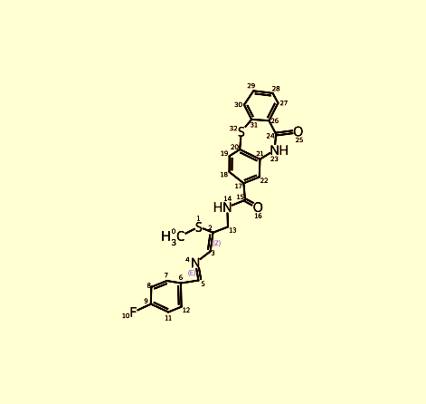 CS/C(=C\N=C\c1ccc(F)cc1)CNC(=O)c1ccc2c(c1)NC(=O)c1ccccc1S2